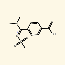 CN(C)/C(=N/S(C)(=O)=O)c1ccc(C(=O)O)cc1